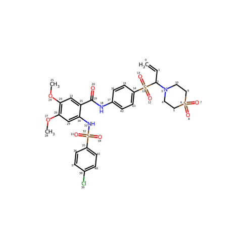 C=CC(N1CCS(=O)(=O)CC1)S(=O)(=O)c1ccc(NC(=O)c2cc(OC)c(OC)cc2NS(=O)(=O)c2ccc(Cl)cc2)cc1